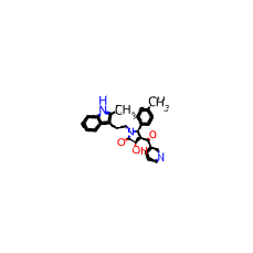 Cc1ccc(C2C(C(=O)c3cccnc3)=C(O)C(=O)N2CCc2c(C)[nH]c3ccccc23)cc1